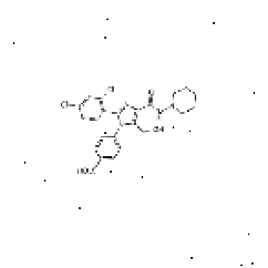 O=C(O)c1ccc(-n2c(-c3ccc(Cl)cc3Cl)nc(C(=O)NN3CCCCC3)c2CO)cc1